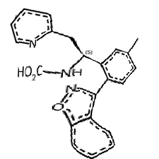 Cc1ccc(-c2noc3ccccc23)c([C@H](Cc2ccccn2)NC(=O)O)c1